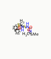 CSC(C)=NOC(=O)NCSNC(C)P(=S)(Oc1ccccc1)c1ccccc1